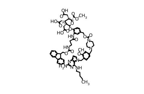 CCCCCNc1nc(N)nc2ccn(Cc3ccc(CN4CCN(C(=O)OCc5ccc(OC6O[C@@H](C(=O)OC)[C@H](CC(=O)O)[C@@H](CC(=O)O)[C@@H]6CC(=O)O)c(NC(=O)CCNC(=O)OCC6c7ccccc7-c7ccccc76)c5)CC4)cc3OC)c12